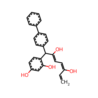 C=C/C(O)=C\C=C(/O)C(c1ccc(-c2ccccc2)cc1)c1ccc(O)cc1O